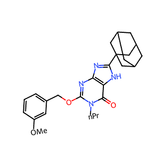 CCCn1c(OCc2cccc(OC)c2)nc2nc(C34CC5CC(CC(C5)C3)C4)[nH]c2c1=O